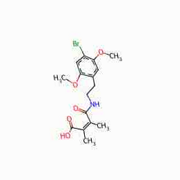 COc1cc(CCNC(=O)/C(C)=C(/C)C(=O)O)c(OC)cc1Br